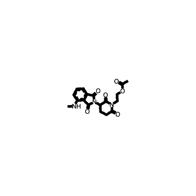 CNc1cccc2c1C(=O)N(C1CCC(=O)N(CCOC(C)=O)C1=O)C2=O